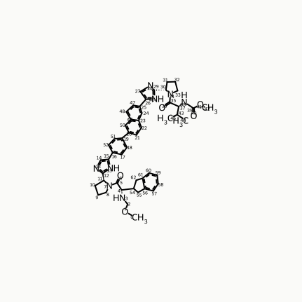 COCN[C@H](C(=O)N1CCC[C@H]1c1ncc(-c2ccc(-c3ccc4cc(-c5cnc([C@@H]6CCCN6C(=O)[C@@H](NC(=O)OC)C(C)C)[nH]5)ccc4c3)cc2)[nH]1)C1Cc2ccccc2C1